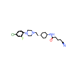 N#CCCCC(=O)N[C@H]1CC[C@H](CCN2CCN(c3ccc(Cl)cc3F)CC2)CC1